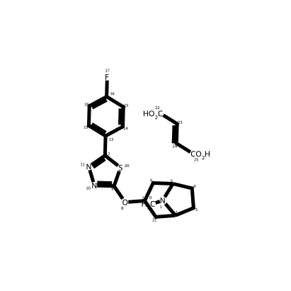 CN1C2CCC1CC(Oc1nnc(-c3ccc(F)cc3)s1)C2.O=C(O)/C=C/C(=O)O